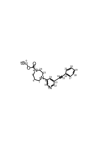 CC(C)(C)OC(=O)N1CCCN(c2cncc(C#Cc3ccccc3)c2)CC1